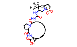 CC(C)(C)C(CN1CCCS1(=O)=O)NC(=O)N[C@H]1CCCCC/C=C\C2C[C@@]2(C(=O)O)NC(=O)C2CCCN2C1=O